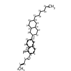 CC=CCOc1ccc2cc(C3CCC4CC(CCCCCC)CCC4C3)ccc2c1F